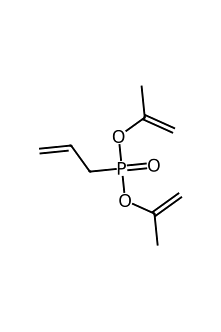 C=CCP(=O)(OC(=C)C)OC(=C)C